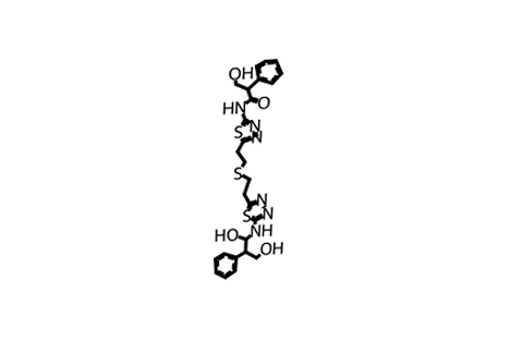 O=C(Nc1nnc(CCSCCc2nnc(NC(O)C(CO)c3ccccc3)s2)s1)C(CO)c1ccccc1